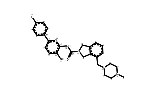 CN1CCN(Cc2cccc3c2CN(C(=O)Nc2nc(-c4ccc(F)cc4)ccc2N)C3)CC1